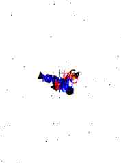 CC1(S(=O)(=O)NC(=O)c2cc(N3CCC(N4CCN(C5CC5)CC4)CC3)c3c(C4CCC4)nn(-c4ccccc4)c3n2)CC1